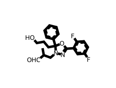 CC(C=O)CN1N=C(c2cc(F)ccc2F)OC1(CCCO)c1ccccc1